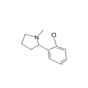 CN1CCCC1c1c[c]ccc1Cl